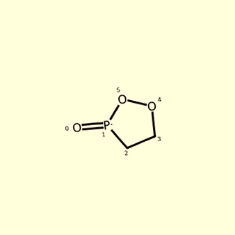 O=[P]1CCOO1